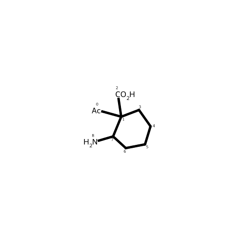 CC(=O)C1(C(=O)O)CCCCC1N